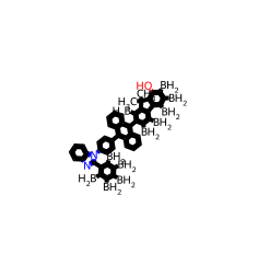 Bc1c(B)c(B)c(-c2nc3ccccc3n2-c2ccc(-c3c4ccccc4c(-c4c(B)c(B)c5c(c4B)C(C)(C)c4c(O)c(B)c(B)c(B)c4-5)c4ccccc34)cc2)c(B)c1B